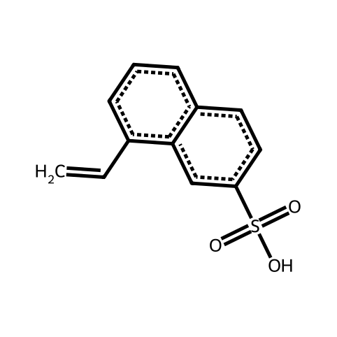 C=Cc1cccc2ccc(S(=O)(=O)O)cc12